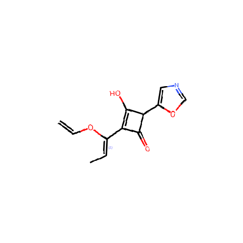 C=CO/C(=C\C)C1=C(O)C(c2cnco2)C1=O